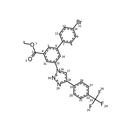 COC(=O)c1cc(-c2ccc(Br)cc2)cc(-n2cc(-c3ccc(C(F)(F)F)cc3)nn2)c1